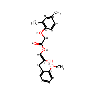 COc1ccccc1C/C(O)=C/OC(=O)COc1ccc(C)cc1C